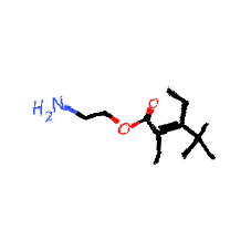 CCC(=C(C)C(=O)OCCN)C(C)(C)C